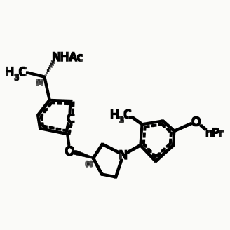 CCCOc1ccc(N2CC[C@@H](Oc3ccc([C@H](C)NC(C)=O)cc3)C2)c(C)c1